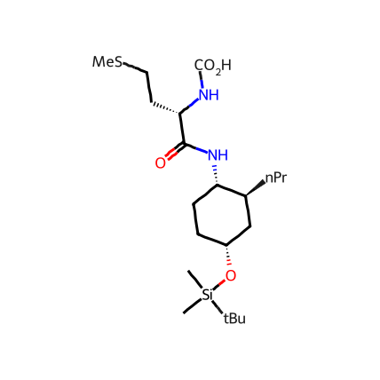 CCC[C@H]1C[C@H](O[Si](C)(C)C(C)(C)C)CC[C@@H]1NC(=O)[C@H](CCSC)NC(=O)O